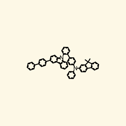 CC1(C)c2ccccc2-c2ccc(N(c3ccccc3)c3ccc(-c4ccccc4-n4c5ccccc5c5cc(-c6ccc(-c7ccccc7)cc6)ccc54)cc3)cc21